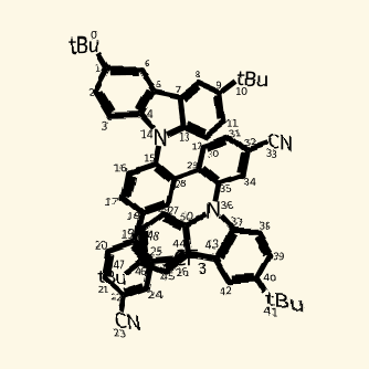 CC(C)(C)c1ccc2c(c1)c1cc(C(C)(C)C)ccc1n2-c1ccc(-c2ccc(C#N)cc2C(F)(F)F)cc1-c1ccc(C#N)cc1-n1c2ccc(C(C)(C)C)cc2c2cc(C(C)(C)C)ccc21